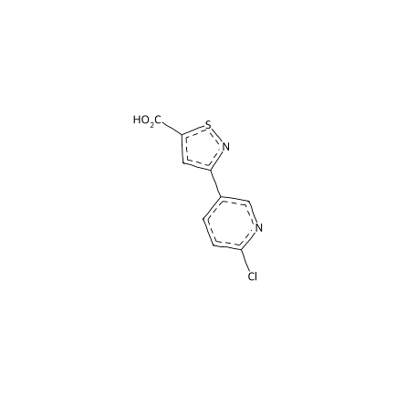 O=C(O)c1cc(-c2ccc(Cl)nc2)ns1